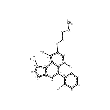 COCCOc1cc(F)c2c(-c3ccccc3F)nc3[nH]nc(C)c3c2c1F